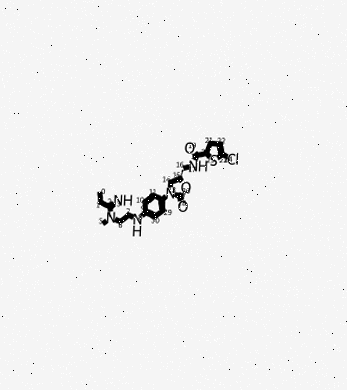 CCC(=N)N(C)CCNc1ccc(N2C[C@H](CNC(=O)C3CC=C(Cl)S3)OC2=O)cc1